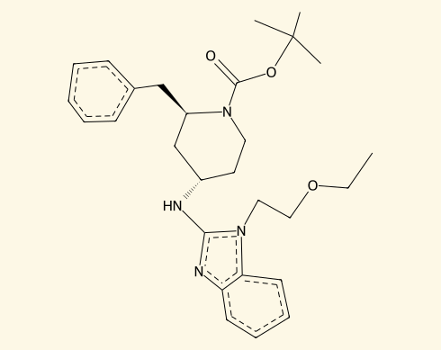 CCOCCn1c(N[C@H]2CCN(C(=O)OC(C)(C)C)[C@H](Cc3ccccc3)C2)nc2ccccc21